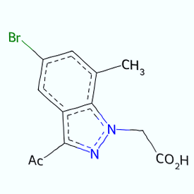 CC(=O)c1nn(CC(=O)O)c2c(C)cc(Br)cc12